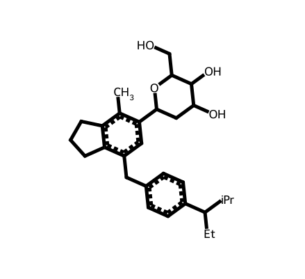 CCC(c1ccc(Cc2cc(C3CC(O)C(O)C(CO)O3)c(C)c3c2CCC3)cc1)C(C)C